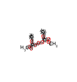 CCOC(=O)c1cc(OCCOCCOc2cc(OCc3ccccc3)cc(C(=O)OCC)c2)cc(OCc2ccccc2)c1